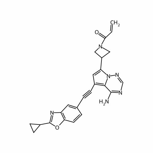 C=CC(=O)N1CC(c2cc(C#Cc3ccc4oc(C5CC5)nc4c3)c3c(N)ncnn23)C1